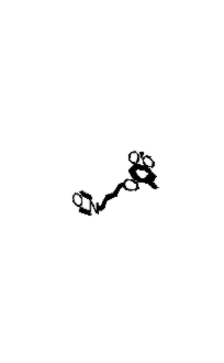 Cc1cc2c(cc1OCCCCN1CCOCC1)OCO2